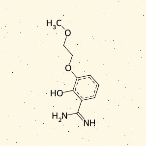 COCCOc1cccc(C(=N)N)c1O